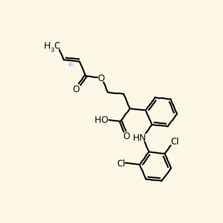 C/C=C/C(=O)OCCC(C(=O)O)c1ccccc1Nc1c(Cl)cccc1Cl